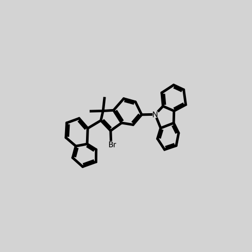 CC1(C)C(c2cccc3ccccc23)=C(Br)c2cc(-n3c4ccccc4c4ccccc43)ccc21